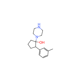 Cc1cccc(C2CCCC2(O)N2CCNCC2)c1